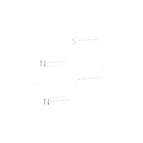 C1=Cc2cncnc2SC1